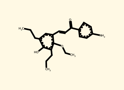 CCCc1cc(/C=C/C(=O)c2ccc(N)cc2)c(OCC)c(CCC)c1O